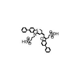 CCC(=Cc1oc2ccc(-c3ccccc3)cc2c1CCS(=O)(=O)O)C=C1Sc2ccc(-c3ccccc3)cc2N1CCCS(=O)(=O)O